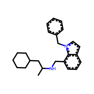 CC(CC1CCCCC1)NCc1cccc2ccn(Cc3ccccc3)c12